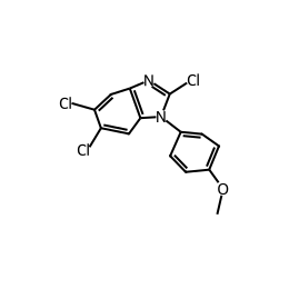 COc1ccc(-n2c(Cl)nc3cc(Cl)c(Cl)cc32)cc1